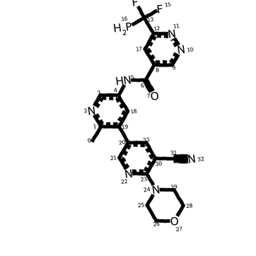 Cc1ncc(NC(=O)c2cnnc(C(F)(F)P)c2)cc1-c1cnc(N2CCOCC2)c(C#N)c1